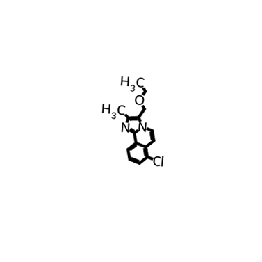 CCOCc1c(C)nc2c3cccc(Cl)c3ccn12